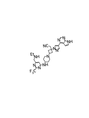 CCNCc1cc(NC2CCN(C3CC(CC#N)(n4cc(-c5ncnc6[nH]ccc56)cn4)C3)CC2)nc(C(F)(F)F)n1